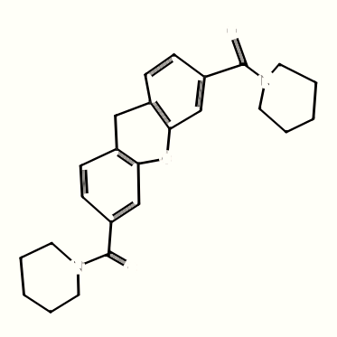 O=C(c1ccc2c(c1)Oc1cc(C(=O)N3CCCCC3)ccc1C2)N1CCCCC1